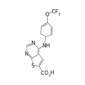 O=C(O)c1cc2c(NC3C=CC(OC(F)(F)F)=CC3)ncnc2s1